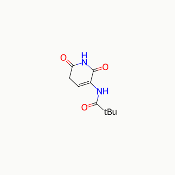 CC(C)(C)C(=O)NC1=CCC(=O)NC1=O